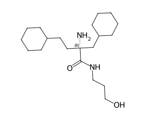 N[C@](CCC1CCCCC1)(CC1CCCCC1)C(=O)NCCCO